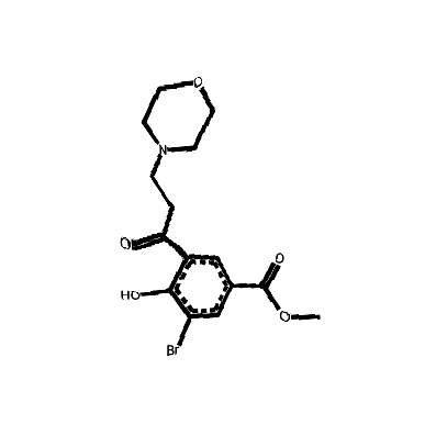 COC(=O)c1cc(Br)c(O)c(C(=O)CCN2CCOCC2)c1